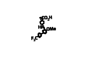 COc1ccc(-c2ccc(C(F)(F)F)cc2)cc1CNC1CCC(N(C)C(=O)O)CC1